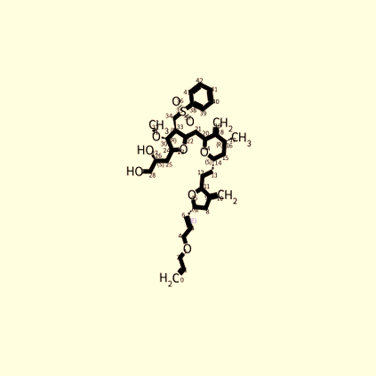 C=CCOC/C=C/[C@H]1CC(=C)C(CC[C@H]2C[C@@H](C)C(=C)C(CC3OC(C[C@H](O)CO)[C@H](OC)[C@H]3CS(=O)(=O)c3ccccc3)O2)O1